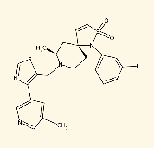 Cc1cncc(-c2ncsc2CN2CC[C@]3(C=CS(=O)(=O)N3c3cccc(F)c3)C[C@@H]2C)c1